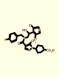 O=C(O)C1CCC(n2ncc(C(=O)N(Cc3ccc(F)cc3)CC(O)c3c(Cl)cncc3Cl)c2C(F)(F)F)CC1